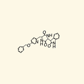 O=C1NC(C2C(=O)Nc3ccccc32)C(=O)NC1Cc1ccc(OCc2ccccc2)cn1